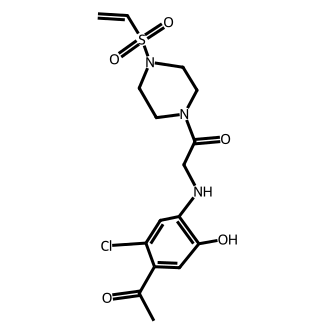 C=CS(=O)(=O)N1CCN(C(=O)CNc2cc(Cl)c(C(C)=O)cc2O)CC1